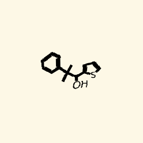 CC(C)(c1ccccc1)C(O)c1cccs1